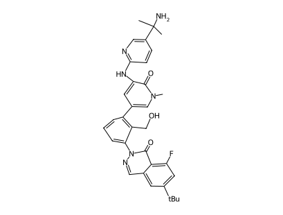 Cn1cc(-c2cccc(-n3ncc4cc(C(C)(C)C)cc(F)c4c3=O)c2CO)cc(Nc2ccc(C(C)(C)N)cn2)c1=O